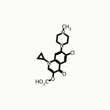 CN1CCN(c2cc3c(cc2Cl)c(=O)c(OC(=O)O)cn3C2CC2)CC1